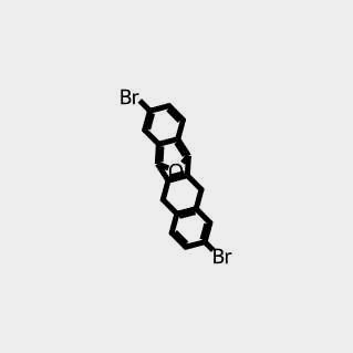 Brc1ccc2c(c1)Cc1c(c3oc1c1ccc(Br)cc31)C2